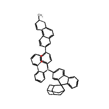 CC1C=Cc2c(ccc3cc(-c4ccc(N(c5ccc6c(c5)C5(c7ccccc7-6)C6CC7CC(C6)CC5C7)c5ccccc5-c5ccccc5)cc4)ccc23)C1